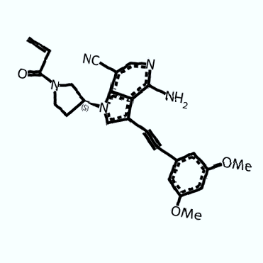 C=CC(=O)N1CC[C@H](n2cc(C#Cc3cc(OC)cc(OC)c3)c3c(N)ncc(C#N)c32)C1